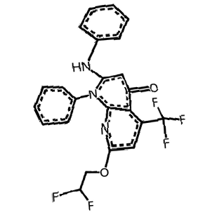 O=c1cc(Nc2ccccc2)n(-c2ccccc2)c2nc(OCC(F)F)cc(C(F)(F)F)c12